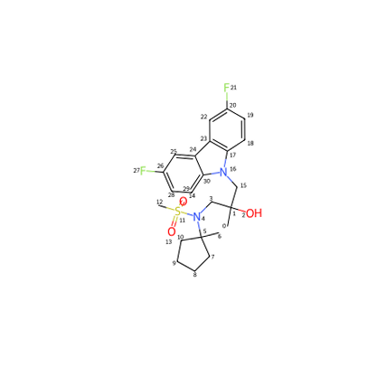 CC(O)(CN(C1(C)CCCC1)S(C)(=O)=O)Cn1c2ccc(F)cc2c2cc(F)ccc21